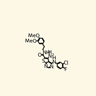 COc1ccc(CCNC(=O)c2sc3ncnc(Nc4ccc(F)c(Cl)c4)c3c2N)cc1OC